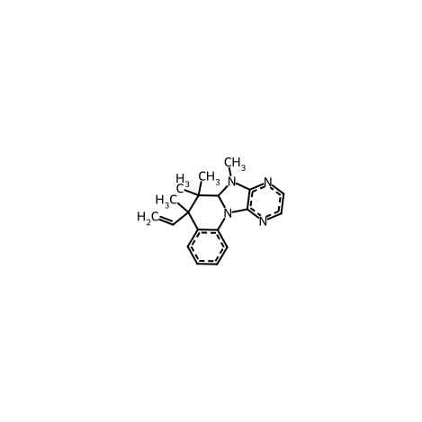 C=CC1(C)c2ccccc2N2c3nccnc3N(C)C2C1(C)C